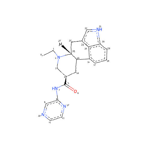 CCN1C[C@H](C(=O)Nc2cnccn2)CC2c3cccc4[nH]cc(c34)C[C@H]21